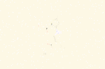 COC(=O)/C(=C/Nc1cc(C)sc1C(=O)O)SC